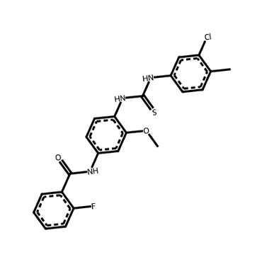 COc1cc(NC(=O)c2ccccc2F)ccc1NC(=S)Nc1ccc(C)c(Cl)c1